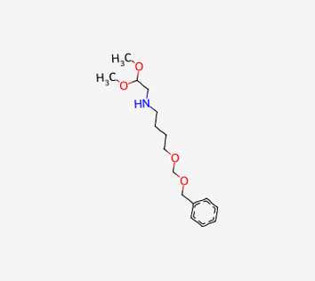 COC(CNCCCCOCOCc1ccccc1)OC